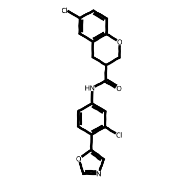 O=C(Nc1ccc(-c2cnco2)c(Cl)c1)C1COc2ccc(Cl)cc2C1